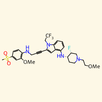 COCCN1CC[C@H](Nc2cccc3c2cc(C#CCNc2ccc(S(C)(=O)=O)cc2OC)n3CC(F)(F)F)[C@H](F)C1